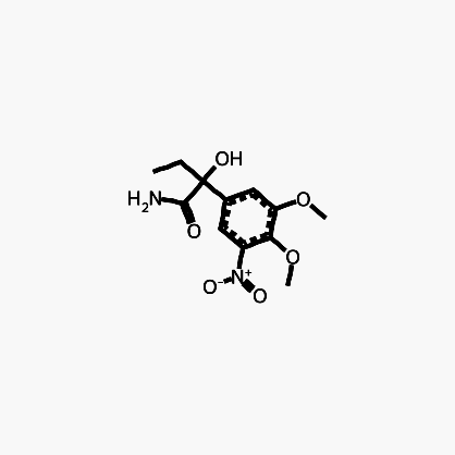 CCC(O)(C(N)=O)c1cc(OC)c(OC)c([N+](=O)[O-])c1